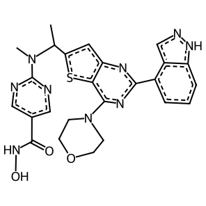 CC(c1cc2nc(-c3cccc4[nH]ncc34)nc(N3CCOCC3)c2s1)N(C)c1ncc(C(=O)NO)cn1